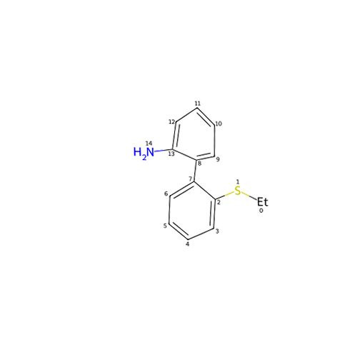 CCSc1ccccc1-c1ccccc1N